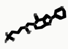 O=C1c2cn(-c3cccnc3)nc2CCN1C[S+]([O-])CCCC(F)(F)F